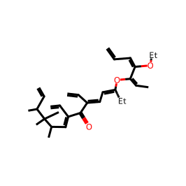 C=C/C=C(OCC)\C(=C/C)O/C(=C/C=C(\C=C)C(=O)/C(C=C)=C/C(C)C(C)(C)C(C)C=C)CC